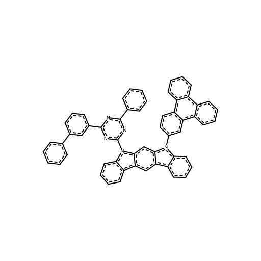 c1ccc(-c2cccc(-c3nc(-c4ccccc4)nc(-n4c5ccccc5c5cc6c7ccccc7n(-c7ccc8c9ccccc9c9ccccc9c8c7)c6cc54)n3)c2)cc1